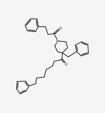 O=C(CCc1ccccc1)N1CCC(Cc2ccccc2)(C(=O)CCCCCCc2ccccc2)CC1